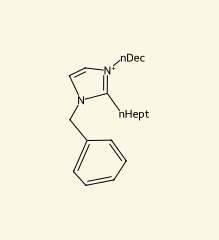 CCCCCCCCCC[n+]1ccn(Cc2ccccc2)c1CCCCCCC